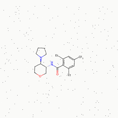 CCc1cc(C(F)(F)F)cc(CC)c1C(=O)N[C@@H]1COCC[C@H]1N1CCCC1